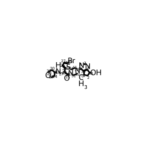 CC1CC(O)c2ncnc(N3CCN(C(=O)[C@H](CNC4CCOCC4)c4ccc(Br)s4)CC3)c21